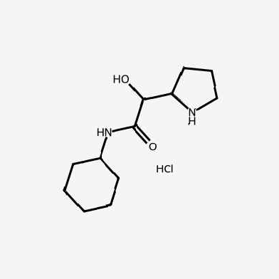 Cl.O=C(NC1CCCCC1)C(O)C1CCCN1